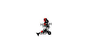 O=c1nc(SCC2CC2)ccn1[C@@H]1O[C@H](COP(=O)(O)OP(=O)(O)OP(=O)(O)Cc2cccc3ccccc23)C2OC(C3CCCCC3)O[C@@H]21